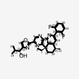 CC[C@]1(c2cncc(-c3nc([C@H](O)C(C)C)co3)n2)CC[C@H](C)c2cc(-c3c(F)cccc3F)nnc21